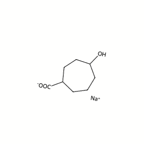 O=C([O-])C1CCCC(O)CC1.[Na+]